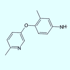 Cc1ccc(Oc2ccc([NH])cc2C)cn1